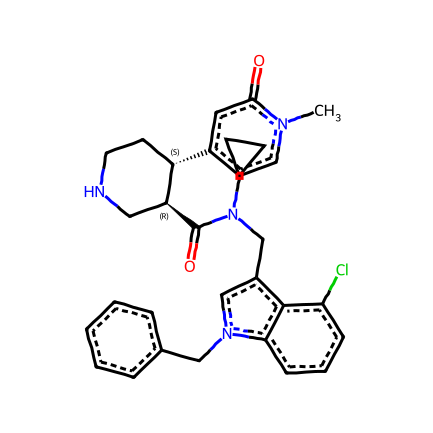 Cn1ccc([C@H]2CCNC[C@@H]2C(=O)N(Cc2cn(Cc3ccccc3)c3cccc(Cl)c23)C2CC2)cc1=O